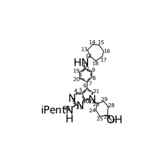 CCC[C@H](C)Nc1ncc2c(-c3ccc(NC4CCCCCC4)cc3)cn(C3CCC(O)CC3)c2n1